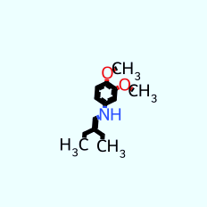 CCC(=CNc1ccc(OC)c(OC)c1)CC